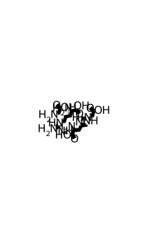 N=C(N)NCCC[C@H](N)C(=O)O.NCC(=O)O.NCC(=O)O.N[C@@H](Cc1c[nH]cn1)C(=O)O